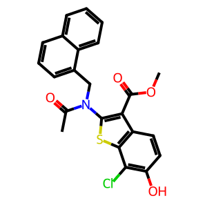 COC(=O)c1c(N(Cc2cccc3ccccc23)C(C)=O)sc2c(Cl)c(O)ccc12